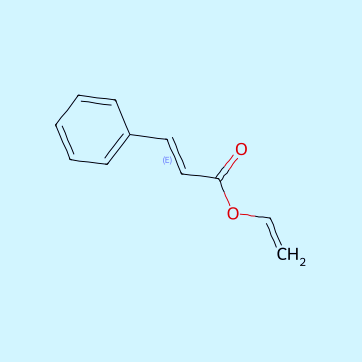 C=COC(=O)/C=C/c1ccccc1